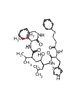 CCC(C)C(NC(=O)C(CC(O)C(CC(C)C)NC(=O)C(Cc1c[nH]cn1)NC(=O)CCSc1ccccc1)C(C)C)C(=O)NCc1ccccn1